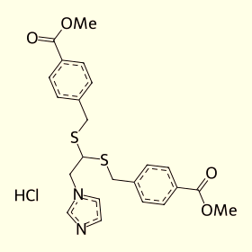 COC(=O)c1ccc(CSC(Cn2ccnc2)SCc2ccc(C(=O)OC)cc2)cc1.Cl